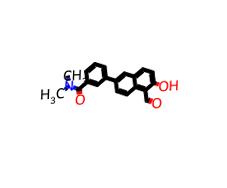 CN(C)C(=O)c1cccc(-c2ccc3c(C=O)c(O)ccc3c2)c1